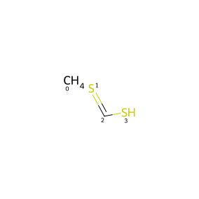 C.S=CS